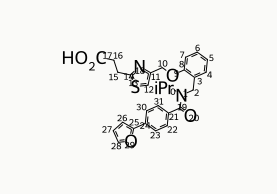 CC(C)N(Cc1ccccc1OCc1csc(CCC(=O)O)n1)C(=O)c1ccc(-c2ccco2)cc1